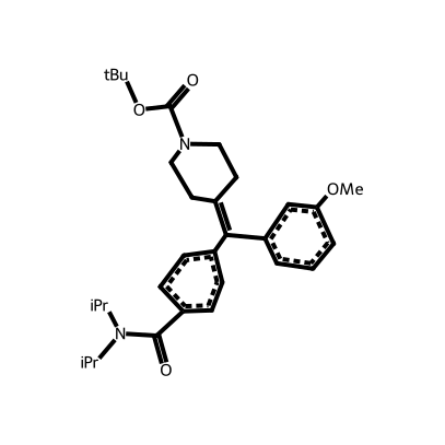 COc1cccc(C(=C2CCN(C(=O)OC(C)(C)C)CC2)c2ccc(C(=O)N(C(C)C)C(C)C)cc2)c1